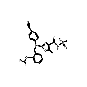 Cc1oc(N(Cc2ccccc2OC(F)F)c2ccc(C#N)cc2)nc1C(=O)NS(C)(=O)=O